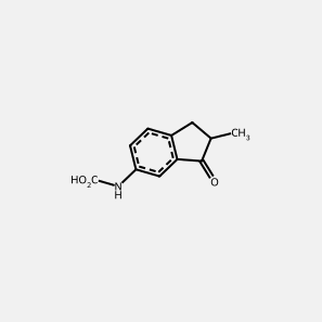 CC1Cc2ccc(NC(=O)O)cc2C1=O